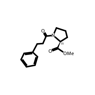 COC(=O)[C@@H]1CCCN1C(=O)CCc1ccccc1